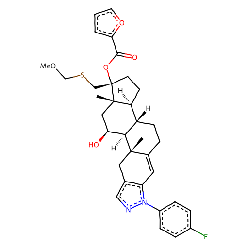 COCSC[C@@]1(OC(=O)c2ccco2)CC[C@H]2[C@@H]3CCC4=Cc5c(cnn5-c5ccc(F)cc5)C[C@]4(C)[C@H]3[C@@H](O)C[C@@]21C